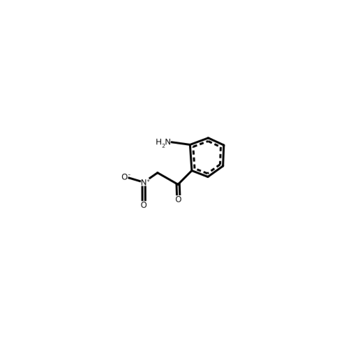 Nc1ccccc1C(=O)C[N+](=O)[O-]